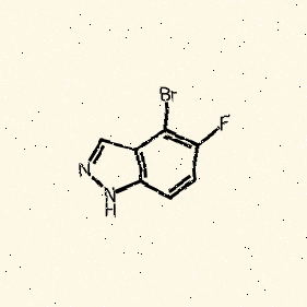 Fc1ccc2[nH]ncc2c1Br